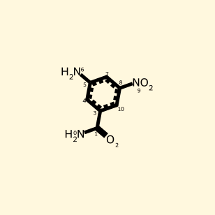 NC(=O)c1cc(N)cc([N+](=O)[O-])c1